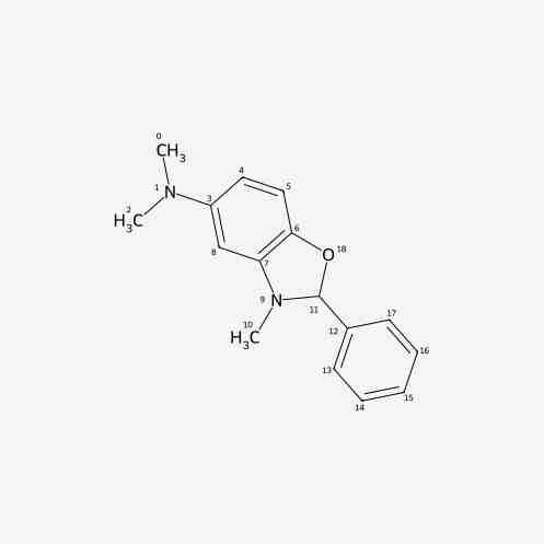 CN(C)c1ccc2c(c1)N(C)C(c1ccccc1)O2